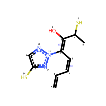 C=C/C=C\C(=C(\O)C(C)S)n1ncc(S)n1